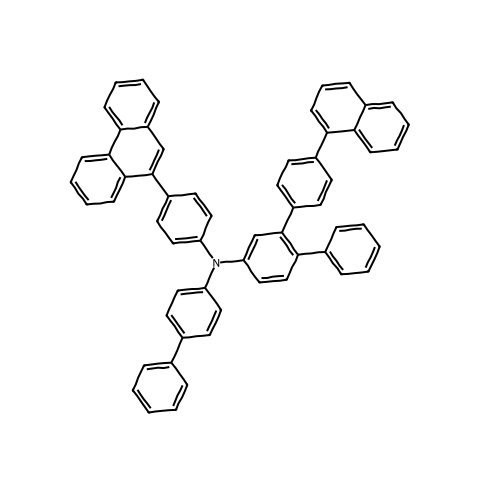 c1ccc(-c2ccc(N(c3ccc(-c4cc5ccccc5c5ccccc45)cc3)c3ccc(-c4ccccc4)c(-c4ccc(-c5cccc6ccccc56)cc4)c3)cc2)cc1